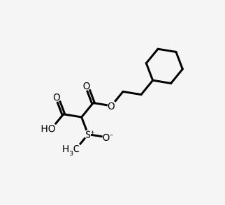 C[S+]([O-])C(C(=O)O)C(=O)OCCC1CCCCC1